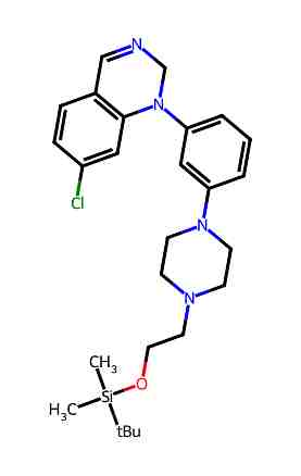 CC(C)(C)[Si](C)(C)OCCN1CCN(c2cccc(N3CN=Cc4ccc(Cl)cc43)c2)CC1